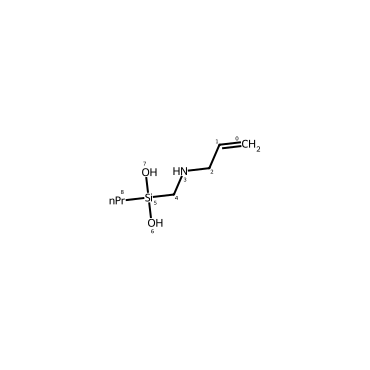 C=CCNC[Si](O)(O)CCC